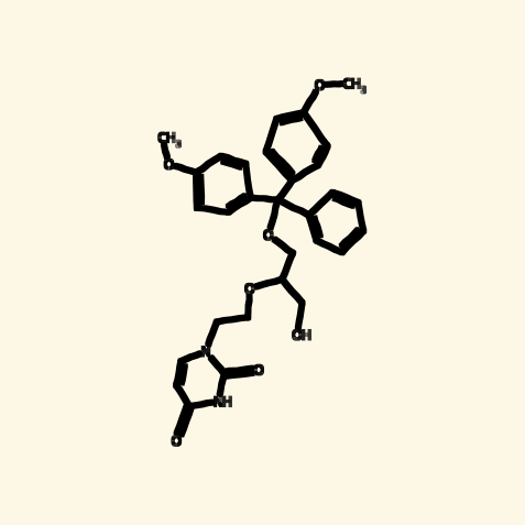 COc1ccc(C(OCC(CO)OCCn2ccc(=O)[nH]c2=O)(c2ccccc2)c2ccc(OC)cc2)cc1